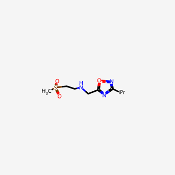 CC(C)c1noc(CNCCS(C)(=O)=O)n1